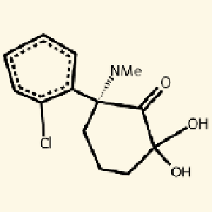 CN[C@@]1(c2ccccc2Cl)CCCC(O)(O)C1=O